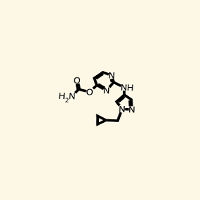 NC(=O)Oc1ccnc(Nc2cnn(CC3CC3)c2)n1